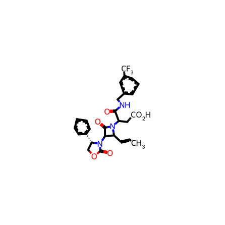 CC=CC1C(N2C(=O)OC[C@@H]2c2ccccc2)C(=O)N1C(CC(=O)O)C(=O)NCc1cccc(C(F)(F)F)c1